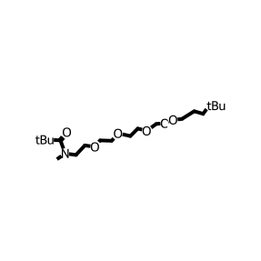 CN(CCOCCOCCOCCOCCCC(C)(C)C)C(=O)C(C)(C)C